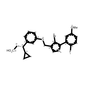 COc1ccc(F)c(-c2scc(COc3cccc([C@@H](CC(=O)O)C4CC4)c3)c2Br)c1